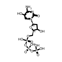 Nc1nc(=O)n([C@H]2CC(O)[C@@H](COP(=O)(O)OP(=O)(O)OP(=O)(O)O)O2)cc1O